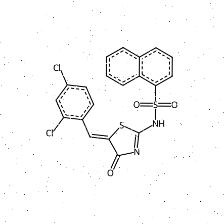 O=C1N=C(NS(=O)(=O)c2cccc3ccccc23)SC1=Cc1ccc(Cl)cc1Cl